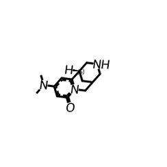 CN(C)c1cc2n(c(=O)c1)CC1CNC[C@@H]2C1